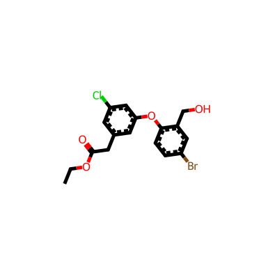 CCOC(=O)Cc1cc(Cl)cc(Oc2ccc(Br)cc2CO)c1